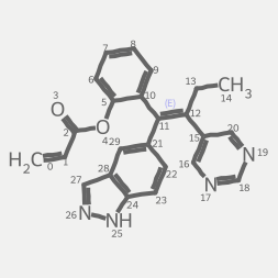 C=CC(=O)Oc1ccccc1/C(=C(\CC)c1cncnc1)c1ccc2[nH]ncc2c1